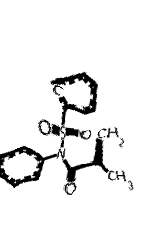 C=C(C)C(=O)N(c1ccccc1)S(=O)(=O)c1ccccc1